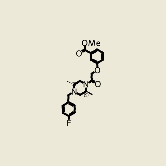 COC(=O)c1cccc(OCC(=O)N2C[C@@H](C)N(Cc3ccc(F)cc3)C[C@@H]2C)c1